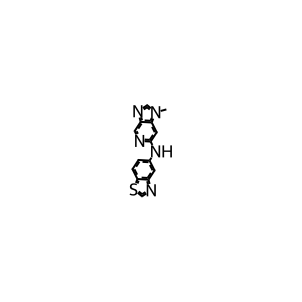 Cn1cnc2cnc(Nc3ccc4scnc4c3)cc21